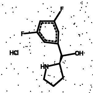 Cl.OC(c1cc(F)cc(F)c1)[C@H]1CCCN1